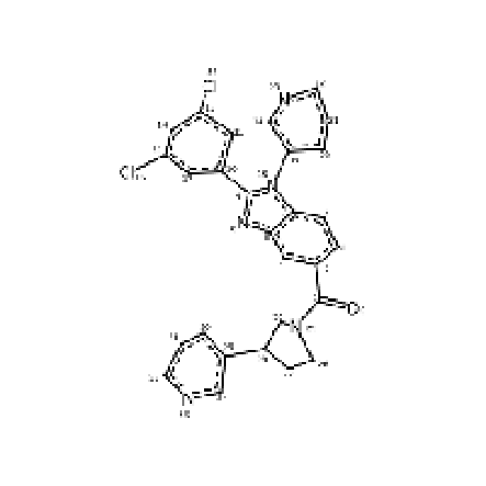 O=C(c1ccc2c(c1)nc(-c1cc(Cl)cc(Cl)c1)n2-c1cccnc1)N1CCC(c2cccnc2)C1